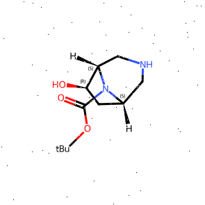 CC(C)(C)OC(=O)N1[C@@H]2CNC[C@H]1[C@H](O)C2